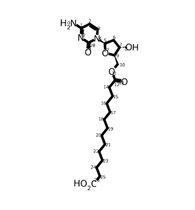 Nc1ccn([C@H]2C[C@H](O)[C@@H](COC(=O)CCCCCCCCCCCCC(=O)O)O2)c(=O)n1